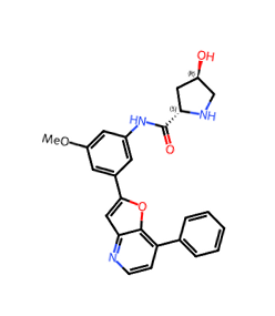 COc1cc(NC(=O)[C@@H]2C[C@@H](O)CN2)cc(-c2cc3nccc(-c4ccccc4)c3o2)c1